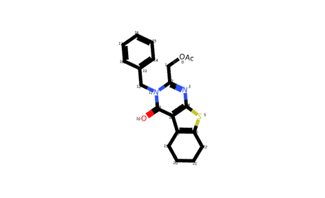 CC(=O)OCc1nc2sc3c(c2c(=O)n1Cc1ccccc1)CCCC3